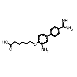 N=C(N)c1ccc(-c2ccc(OCCCCCC(=O)O)c(N)c2)cc1